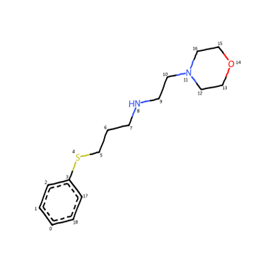 c1ccc(SCCCNCCN2CCOCC2)cc1